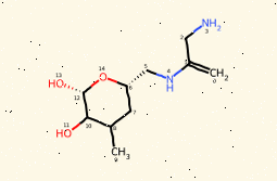 C=C(CN)NC[C@@H]1CC(C)C(O)[C@H](O)O1